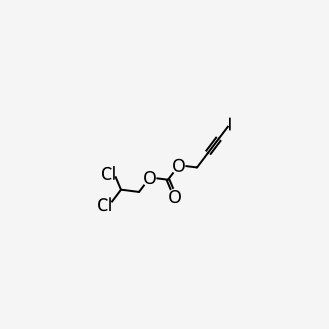 O=C(OCC#CI)OCC(Cl)Cl